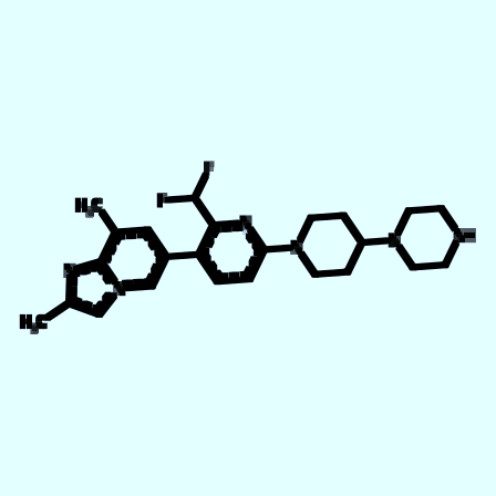 Cc1cn2cc(-c3ccc(N4CCC(N5CCNCC5)CC4)nc3C(F)F)cc(C)c2n1